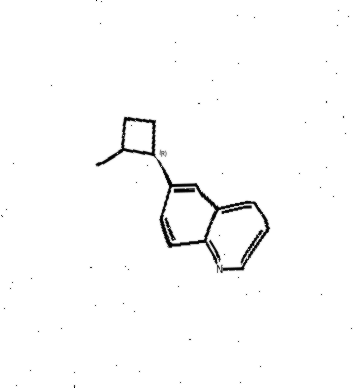 CC1CC[C@H]1c1ccc2ncccc2c1